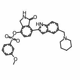 COc1cccc(S(=O)(=O)Oc2ccc(-c3cc4cc(CN5CCCCC5)ccc4[nH]3)c3c2CNC3=O)c1